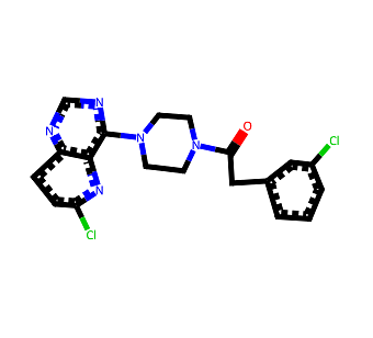 O=C(Cc1cccc(Cl)c1)N1CCN(c2ncnc3ccc(Cl)nc23)CC1